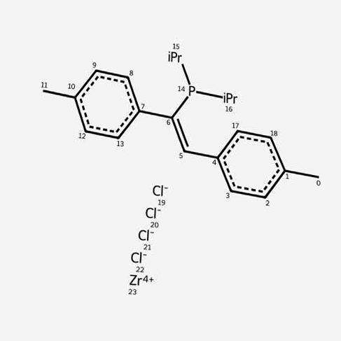 Cc1ccc(C=C(c2ccc(C)cc2)P(C(C)C)C(C)C)cc1.[Cl-].[Cl-].[Cl-].[Cl-].[Zr+4]